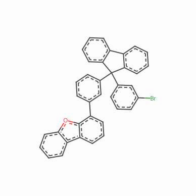 Brc1cccc(C2(c3cccc(-c4cccc5c4oc4ccccc45)c3)c3ccccc3-c3ccccc32)c1